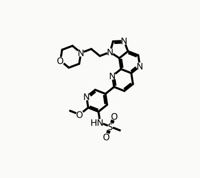 COc1ncc(-c2ccc3ncc4ncn(CCN5CCOCC5)c4c3n2)cc1NS(C)(=O)=O